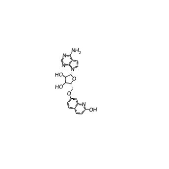 Nc1ncnc2c1ccn2[C@@H]1O[C@H](COc2ccc3ccc(O)nc3c2)[C@@H](O)[C@H]1O